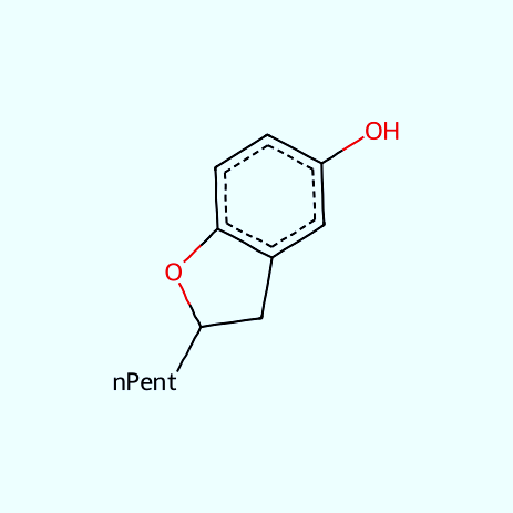 CCCCCC1Cc2cc(O)ccc2O1